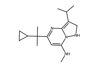 CNC1=CC(C(C)(C)C2CC2)=NC2=C(C(C)C)CNN12